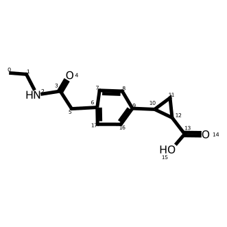 CCNC(=O)Cc1ccc(C2CC2C(=O)O)cc1